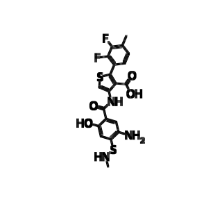 CNSc1cc(O)c(C(=O)Nc2csc(-c3ccc(C)c(F)c3F)c2C(=O)O)cc1N